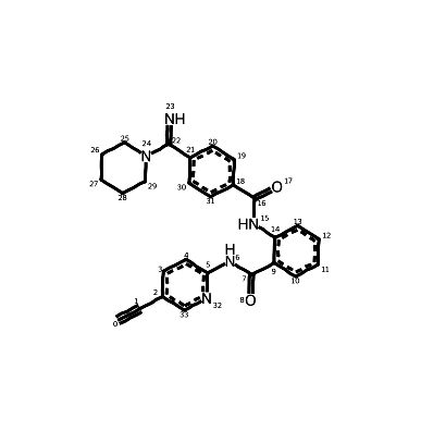 C#Cc1ccc(NC(=O)c2ccccc2NC(=O)c2ccc(C(=N)N3CCCCC3)cc2)nc1